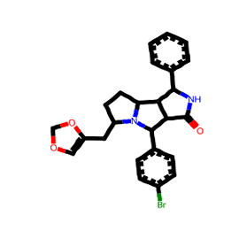 O=C1NC(c2ccccc2)C2C1C(c1ccc(Br)cc1)N1C(CC3=COCO3)CCC21